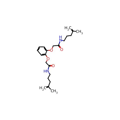 C=C(C)CCCNC(=O)COc1ccccc1OCC(=O)NCCCC(=C)C